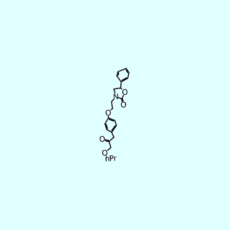 CCCOCC(=O)Cc1ccc(OCCN2CC(c3ccccc3)OC2=O)cc1